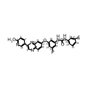 Cc1ccc(-c2cnc3ccc(Oc4cc(F)cc(NC(=O)Nc5cccc(F)c5)c4)cc3n2)cn1